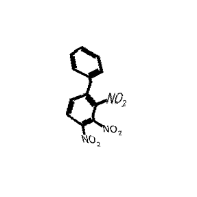 O=[N+]([O-])c1ccc(-c2ccccc2)c([N+](=O)[O-])c1[N+](=O)[O-]